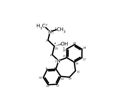 CN(C)C[C@H](O)CN1c2ccccc2CCc2ccccc21